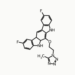 Cc1nnnn1CCOC1=c2[nH]c3ccc(F)cc3c2=CC2c3cc(F)ccc3NC12